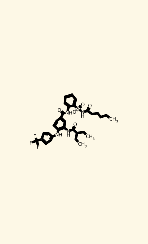 CCCCCC(=O)NS(=O)(=O)c1ccccc1NC(=O)c1ccc(Nc2ccc(C(F)(F)F)cc2)c(NC(=O)C(CC)CC)c1